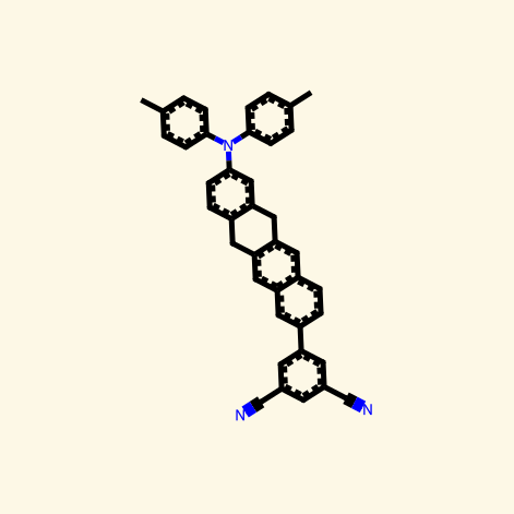 Cc1ccc(N(c2ccc(C)cc2)c2ccc3c(c2)Cc2cc4ccc(-c5cc(C#N)cc(C#N)c5)cc4cc2C3)cc1